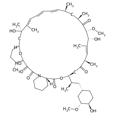 CO[C@@H]1C[C@H](C[C@@H](C)[C@@H]2CC(=O)[C@H](C)/C=C(\C)[C@@H](O)[C@@H](OC)C(=O)[C@H](C)C[C@H](C)/C=C/C=C/C=C(\C)[C@](C)(O)C[C@@H]3CC[C@@H](C)[C@@](O)(O3)C(=O)C(=O)N3CCCC[C@H]3C(=O)O2)CC[C@H]1O